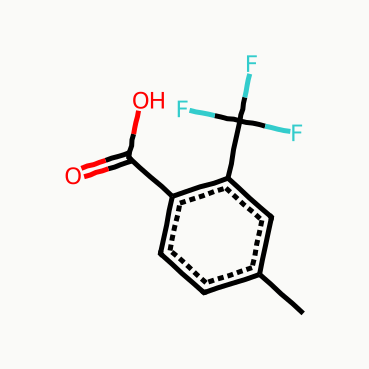 Cc1ccc(C(=O)O)c(C(F)(F)F)c1